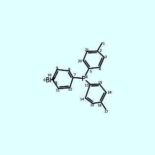 B.Cc1ccc(P(c2ccccc2)c2ccc(C)cc2)cc1